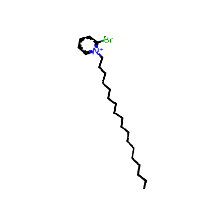 CCCCCCCCCCCCCCCCCC[n+]1ccccc1Br